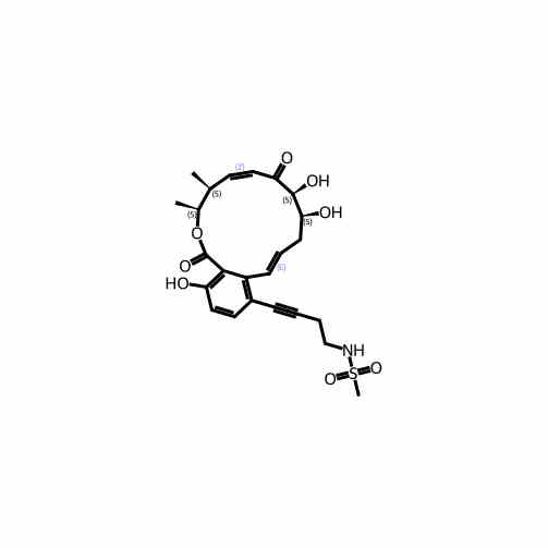 C[C@@H]1OC(=O)c2c(O)ccc(C#CCCNS(C)(=O)=O)c2/C=C/C[C@H](O)[C@H](O)C(=O)/C=C\[C@@H]1C